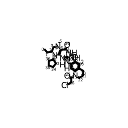 CCC1CN(C)C2=C(N[C@@](N)(Nc3cc4c(cc3OC)CCCN4C(=O)CCl)NC2=O)N1C1CCCC1